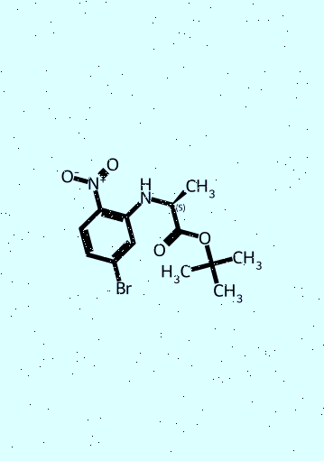 C[C@H](Nc1cc(Br)ccc1[N+](=O)[O-])C(=O)OC(C)(C)C